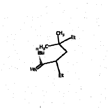 CCC(CC(C)(C)CC)C(=N)[C@@H](C)CC